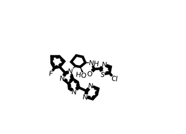 O=C(N[C@H]1CCC[C@@H](n2c(-c3ccccc3F)nc3cnc(-c4ncccn4)cc32)[C@@H]1O)c1ncc(Cl)s1